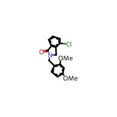 COc1ccc(CN2Cc3c(Cl)cccc3C2=O)c(OC)c1